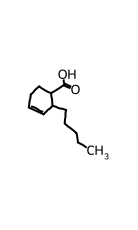 CCCCCC1C=CCCC1C(=O)O